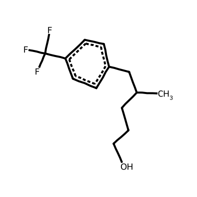 CC(CCCO)Cc1ccc(C(F)(F)F)cc1